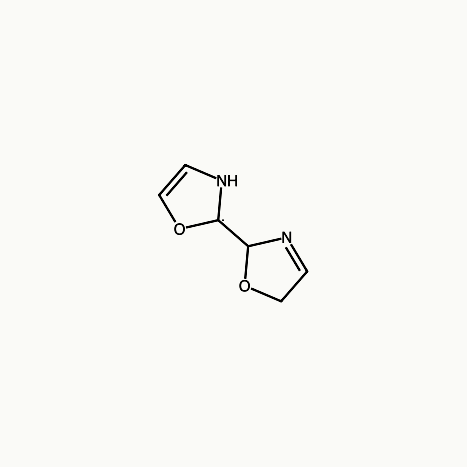 C1=CO[C](C2N=CCO2)N1